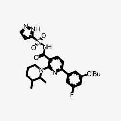 CC(C)COc1cc(F)cc(-c2ccc(C(=O)NS(=O)(=O)c3ccn[nH]3)c(N3CCCC(C)C3C)n2)c1